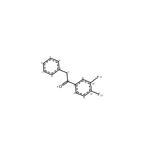 O=C(Cc1ccccc1)c1ccc(F)c(F)c1